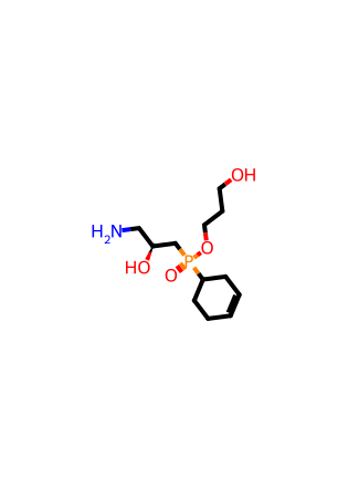 NC[C@H](O)CP(=O)(OCCCO)C1CC=CCC1